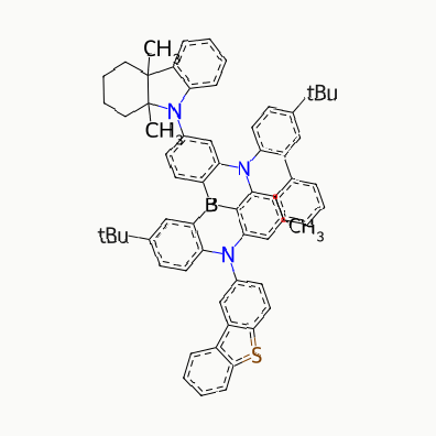 Cc1cc2c3c(c1)N(c1ccc(C(C)(C)C)cc1-c1ccccc1)c1cc(N4c5ccccc5C5(C)CCCCC45C)ccc1B3c1cc(C(C)(C)C)ccc1N2c1ccc2sc3ccccc3c2c1